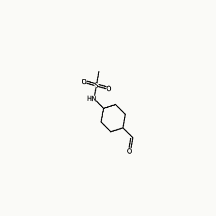 CS(=O)(=O)NC1CCC(C=O)CC1